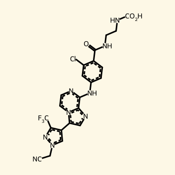 N#CCn1cc(-c2cnc3c(Nc4ccc(C(=O)NCCNC(=O)O)c(Cl)c4)nccn23)c(C(F)(F)F)n1